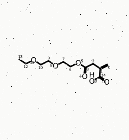 C=C(CC(=O)OCCOCCOCC)C(=O)O